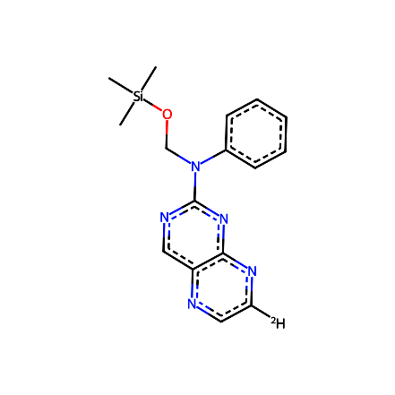 [2H]c1cnc2cnc(N(CO[Si](C)(C)C)c3ccccc3)nc2n1